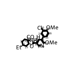 CC[C@H]1CC[C@](NC(=O)c2cnc(OC)c(-c3ccc(OC)c(Cl)c3)c2)(C(=O)O)CC1